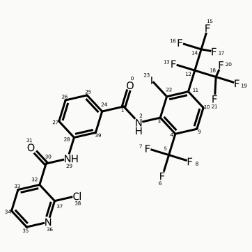 O=C(Nc1c(C(F)(F)F)ccc(C(F)(C(F)(F)F)C(F)(F)F)c1I)c1cccc(NC(=O)c2cccnc2Cl)c1